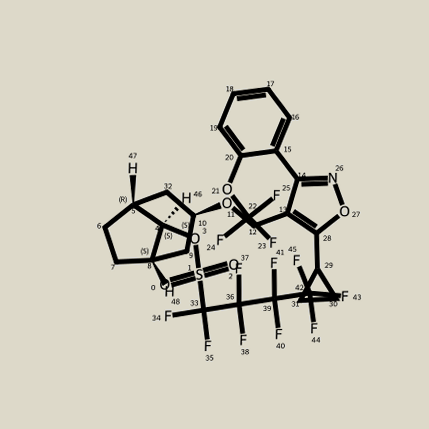 O=S(=O)(O[C@@H]1[C@@H]2CC[C@H]1C[C@H](OCc1c(-c3ccccc3OC(F)(F)F)noc1C1CC1)C2)C(F)(F)C(F)(F)C(F)(F)C(F)(F)F